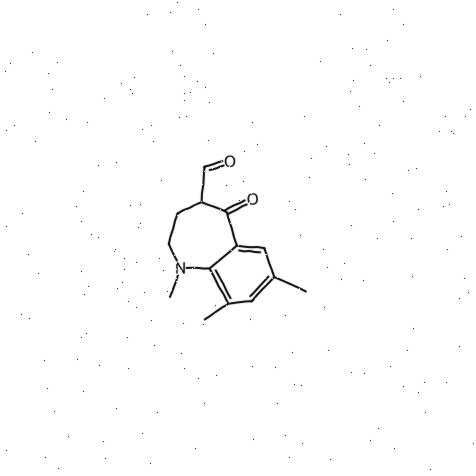 Cc1cc(C)c2c(c1)C(=O)C(C=O)CCN2C